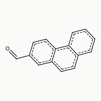 O=[C]c1ccc2c(ccc3ccccc32)c1